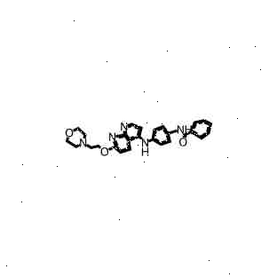 O=C(Nc1ccc(Nc2ccnc3nc(OCCN4CCOCC4)ccc23)cc1)c1ccccc1